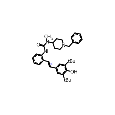 CN(C(=O)Nc1ccccc1/C=C/c1cc(C(C)(C)C)c(O)c(C(C)(C)C)c1)C1CCN(Cc2ccccc2)CC1